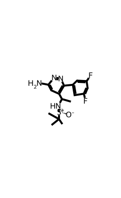 CC(N[S@+]([O-])C(C)(C)C)c1cc(N)nnc1-c1cc(F)cc(F)c1